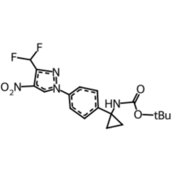 CC(C)(C)OC(=O)NC1(c2ccc(-n3cc([N+](=O)[O-])c(C(F)F)n3)cc2)CC1